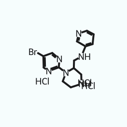 Brc1cnc(N2CCNCC2CNc2cccnc2)nc1.Cl.Cl.Cl